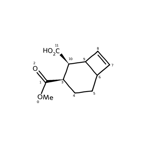 COC(=O)[C@@H]1CCC2C=CC2[C@@H]1C(=O)O